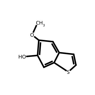 COc1cc2ccsc2cc1O